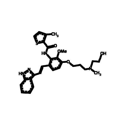 COc1c(OCCCN(C)CCO)ccc(C=Cc2n[nH]c3ccccc23)c1NC(=O)c1sccc1C